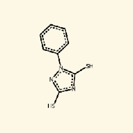 Sc1nc(S)n(-c2ccccc2)n1